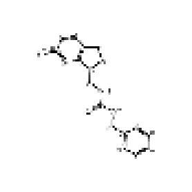 O=C(NCC1CCc2ccc(Br)cc21)OCc1ccccc1